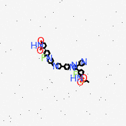 CCCS(=O)(=O)Nc1cccc(-c2cn(-c3ccc(C4CCN(CC5CCN(c6ccc([C@@H]7CCC(=O)NC7=O)cc6F)CC5)CC4)cc3)nc2-c2ccncc2)c1F